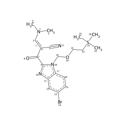 CN(C)/C=C(\C#N)C(=O)c1nc2cc(Br)ccc2n1COCCS(C)(C)C